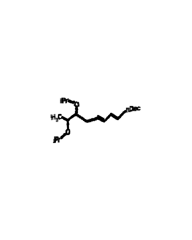 [CH2]CCCCCCCCCCC/C=C/CC(OC(C)C)C(C)OC(C)C